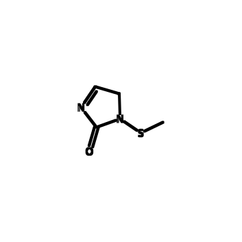 CSN1CC=NC1=O